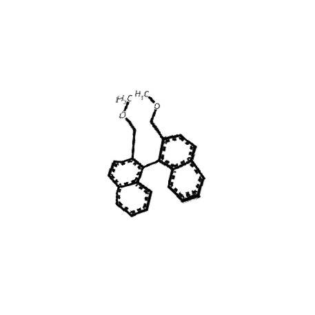 COCc1ccc2ccccc2c1-c1c(COC)ccc2ccccc12